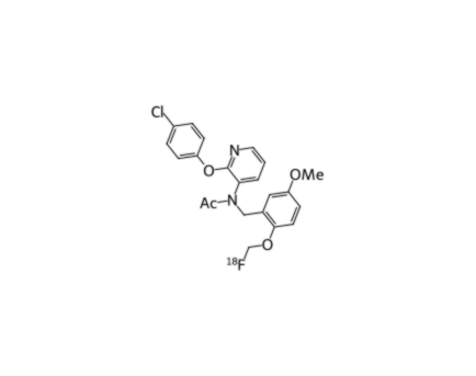 COc1ccc(OC[18F])c(CN(C(C)=O)c2cccnc2Oc2ccc(Cl)cc2)c1